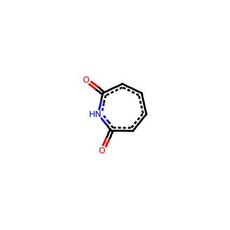 O=c1ccccc(=O)[nH]1